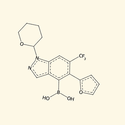 OB(O)c1c(-c2ccco2)c(C(F)(F)F)cc2c1cnn2C1CCCCO1